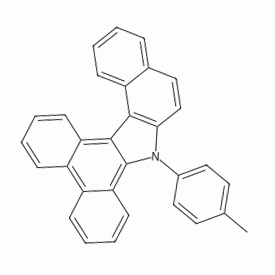 Cc1ccc(-n2c3ccc4ccccc4c3c3c4ccccc4c4ccccc4c32)cc1